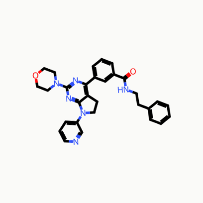 O=C(NCCc1ccccc1)c1cccc(-c2nc(N3CCOCC3)nc3c2CCN3c2cccnc2)c1